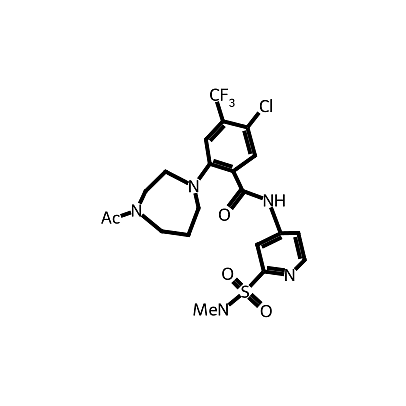 CNS(=O)(=O)c1cc(NC(=O)c2cc(Cl)c(C(F)(F)F)cc2N2CCCN(C(C)=O)CC2)ccn1